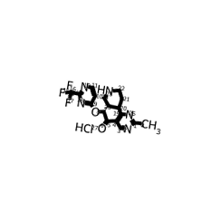 Cc1ncc(C(=O)COc2ccnc(C(F)(F)F)n2)c(C2CCNCC2)n1.Cl